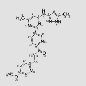 Cc1cc(Nc2cc(C)[nH]n2)nc(-c2ccc(C(=O)NCc3ccc(OC(C)C)cn3)nc2)n1